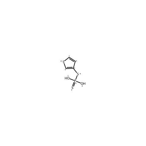 OP(O)(=S)Sc1ccsc1